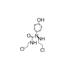 O=C(NCCCl)N(NCCCl)c1ccc(O)cc1